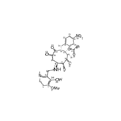 COc1ccnc(CN[C@H]2CC(=O)C(=O)[C@H](Cc3ccc([N+](=O)[O-])cc3)[C@H](OC(=O)C(C)C)[C@H](C)C(=O)C2=O)c1O